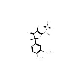 CCS(=O)(=O)N(C)C1=C(O)C(=O)C(C)(c2ccc(OC)c(OC)c2)O1